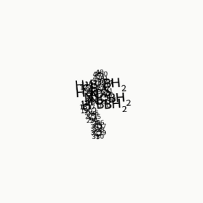 Bc1c(B)c(-c2nc(-c3ccccc3)nc(-c3cccc(-c4ccc(-c5ccc6ccccc6c5)cc4)c3)n2)c2c(sc3c(B)c(-c4ccccc4)c(B)c(B)c32)c1B